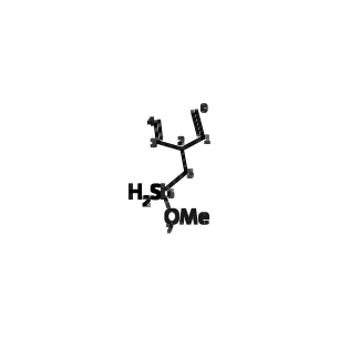 C=CC(C=C)C[SiH2]OC